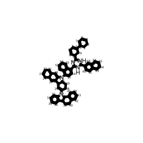 C1=CCCC(C2=CC=CC(C3N=C(c4ccc(N5C6=CC7=CC=CCC7C=C6C6C=C(N7c8ccccc8C8C=Cc9ccccc9C87)CCC65)c5ccccc45)NC(c4ccc5ccccc5c4)N3)C2)=C1